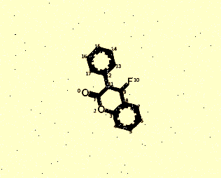 O=C1Oc2ccccc2C(F)C1c1ccccc1